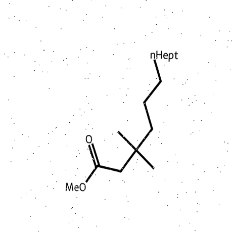 CCCCCCCCCCC(C)(C)CC(=O)OC